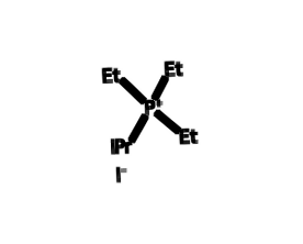 CC[P+](CC)(CC)C(C)C.[I-]